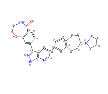 O=C1NCCOc2cc(-c3n[nH]c4ncc(-c5ccc6c(c5)CCC(N5CCCC5)CC6)cc34)ccc21